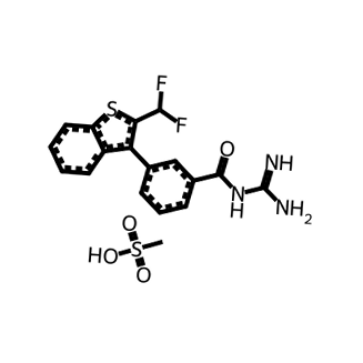 CS(=O)(=O)O.N=C(N)NC(=O)c1cccc(-c2c(C(F)F)sc3ccccc23)c1